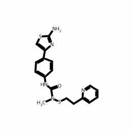 CN(SCCc1ccccn1)C(=O)Nc1ccc(-c2csc(N)n2)cc1